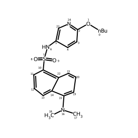 CCCCOc1ccc(NS(=O)(=O)c2cccc3c(N(C)C)cccc23)cn1